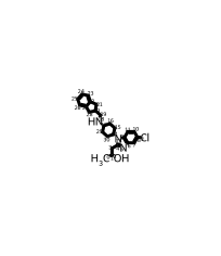 CC(O)Cc1nc2cc(Cl)ccc2n1[C@H]1CC[C@@H](NCC2Cc3ccccc3C2)CC1